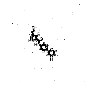 CCCc1n[nH]c(C(=O)Nc2ccc([C@@H]3CNCCO3)nc2)c1F